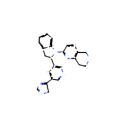 C1=NCC(c2cncc(C3Cc4ccccc4N3c3ccc4c(n3)CCNC4)c2)=N1